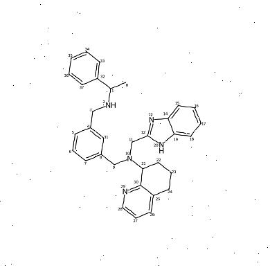 CC(NCc1cccc(CN(Cc2nc3ccccc3[nH]2)C2CCCc3cccnc32)c1)c1ccccc1